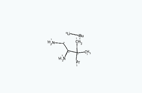 CC(C)C(C)(C)C(N)CN.[Li][CH](C)CC